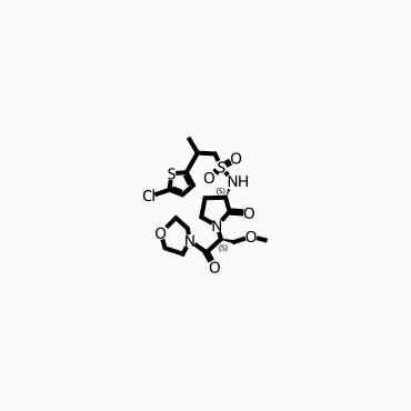 COC[C@@H](C(=O)N1CCOCC1)N1CC[C@H](NS(=O)(=O)CC(C)c2ccc(Cl)s2)C1=O